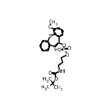 COc1cccc2c1Sc1ccccc1C=C2OP(=O)(O)OCCCNC(=O)OC(C)(C)C